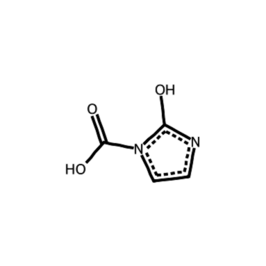 O=C(O)n1ccnc1O